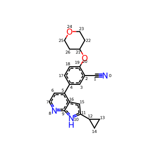 N#Cc1cc(-c2ccnc3[nH]c(C4CC4)cc23)ccc1OC1CCOCC1